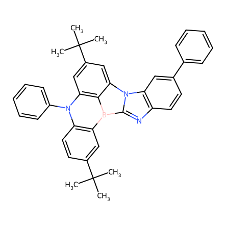 CC(C)(C)c1ccc2c(c1)B1c3c(cc(C(C)(C)C)cc3-n3c1nc1ccc(-c4ccccc4)cc13)N2c1ccccc1